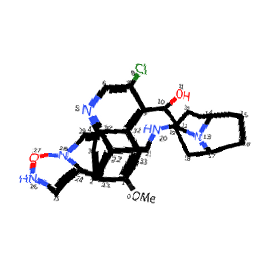 COc1ccc2ncc(Cl)c(C(O)CN3C4CCC3CC(NCC3=CC5=CNON5C=C3)C4)c2c1